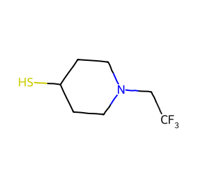 FC(F)(F)CN1CCC(S)CC1